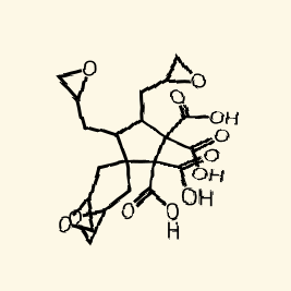 O=C(O)C1(C(=O)O)C(CC2CO2)C(CC2CO2)C(CC2CO2)(CC2CO2)C1(C(=O)O)C(=O)O